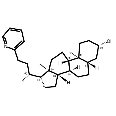 C[C@H](CCc1ccccn1)[C@H]1CC[C@H]2[C@@H]3CC[C@H]4C[C@@H](O)CC[C@]4(C)[C@H]3CC[C@]12C